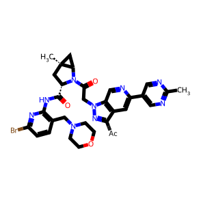 CC(=O)c1nn(CC(=O)N2C3C[C@]3(C)C[C@H]2C(=O)Nc2nc(Br)ccc2CN2CCOCC2)c2cnc(-c3cnc(C)nc3)cc12